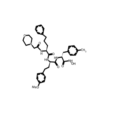 COc1ccc(CC[C@@H](NC(=O)[C@H](CCCc2ccccc2)NC(=O)CN2CCOCC2)C(=O)N[C@H](Cc2ccc(C)cc2)C(=O)NO)cc1